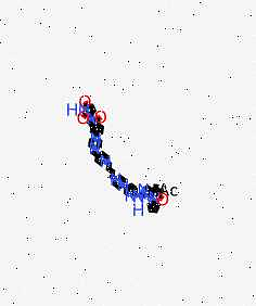 CC(=O)c1c(C)c2cnc(Nc3ccc(N4CCN(CCCCN5CCC(CN6CCN(c7ccc8c(c7)CN(C7CCC(=O)NC7=O)C8=O)CC6)CC5)CC4)cn3)nc2n(C2CCCC2)c1=O